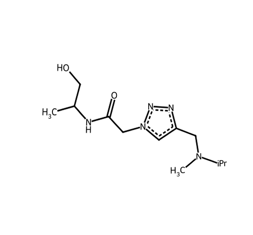 CC(CO)NC(=O)Cn1cc(CN(C)C(C)C)nn1